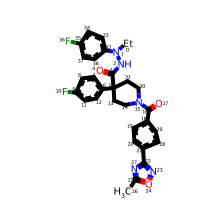 CCN(NC(=O)C1(c2ccc(F)cc2)CCN(C(=O)c2ccc(-c3noc(C)n3)cc2)CC1)c1ccc(F)cc1